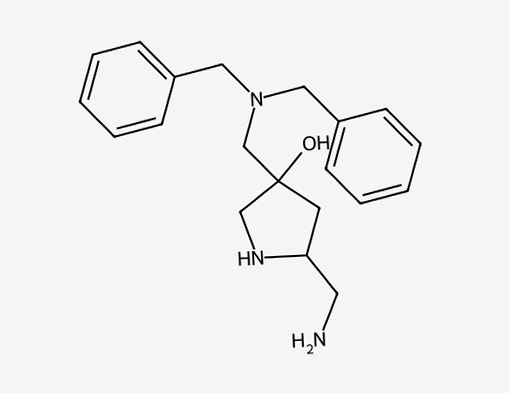 NCC1CC(O)(CN(Cc2ccccc2)Cc2ccccc2)CN1